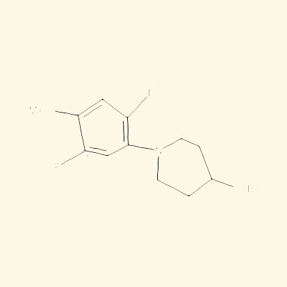 COc1cc(F)c(N2CCC(C=O)CC2)cc1F